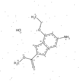 CCOc1cc(N)cc2cc(C(=O)OC)oc12.Cl